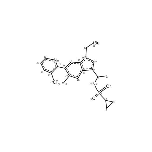 CC(NS(=O)(=O)C1CC1)c1cn(CC(C)(C)C)c2cc(-c3ncccc3C(F)(F)F)c(F)cc12